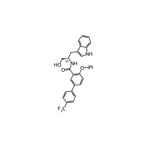 CC(C)Oc1ccc(-c2ccc(C(F)(F)F)cc2)cc1C(=O)N[C@@H](CO)Cc1c[nH]c2ccccc12